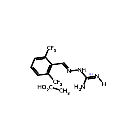 CC(=O)O.[H]/N=C(\N)NN=Cc1c(C(F)(F)F)cccc1C(F)(F)F